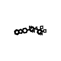 Clc1nccc(Sc2cnc(C3CCC4(CC3)Cc3ccccc3C4)cn2)c1Cl